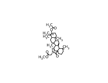 COC(=O)CNC(=O)[C@]12CCC[C@H](C)C1C1=CCC3C(C)(CCC4C3(C)CC[C@H](OC(C)=O)C4(C)C)C1CC2